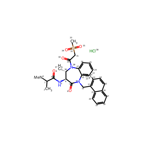 CNC(C)C(=O)N[C@@H]1C(=O)N(Cc2c(C)ccc3ccccc23)c2ccccc2N(C(=O)CS(C)(=O)=O)[C@H]1C.Cl